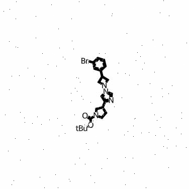 CC(C)(C)OC(=O)N1CCC(c2cn(N3CC(c4cccc(Br)c4)C3)cn2)C1